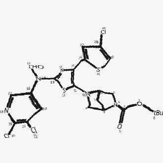 CC(C)(C)OC(=O)N1CC2CC1CN2c1sc(N(C=O)c2cnc(Cl)c(Cl)c2)nc1-c1cc(Cl)cs1